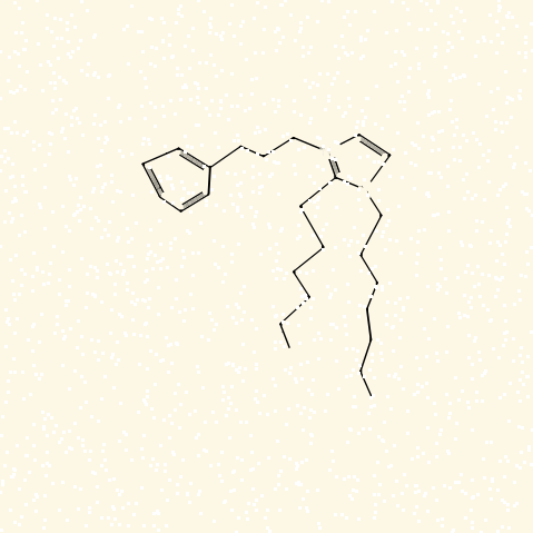 CCCCCCCn1cc[n+](CCCc2ccccc2)c1CCCCCC